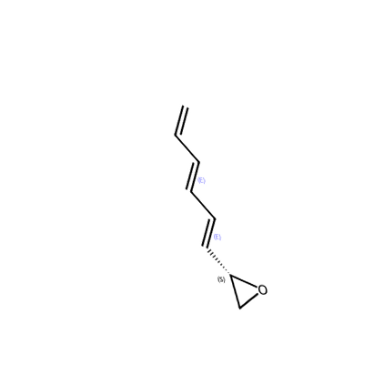 C=C/C=C/C=C/[C@H]1CO1